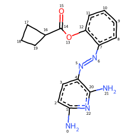 Nc1ccc(/N=N/c2ccccc2OC(=O)C2CCC2)c(N)n1